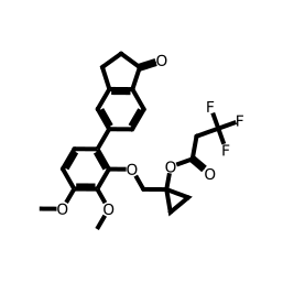 COc1ccc(-c2ccc3c(c2)CCC3=O)c(OCC2(OC(=O)CC(F)(F)F)CC2)c1OC